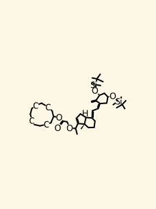 C=C1/C(=C\C=C2/CCC[C@]3(C)C(C(C)OCC(=O)OC4CCCCCCCCCCC4)=CC[C@@H]23)C[C@@H](O[Si](C)(C)C(C)(C)C)C[C@@H]1O[Si](C)(C)C(C)(C)C